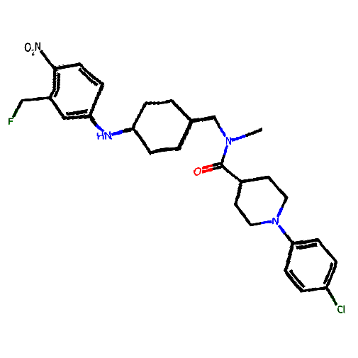 CN(CC1CCC(Nc2ccc([N+](=O)[O-])c(CF)c2)CC1)C(=O)C1CCN(c2ccc(Cl)cc2)CC1